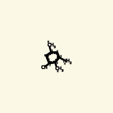 Cc1cc(N)c(C)c(Cl)c1